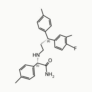 Cc1ccc([C@@H](CCN[C@H](C(N)=O)c2ccc(C)cc2)c2ccc(F)c(C)c2)cc1